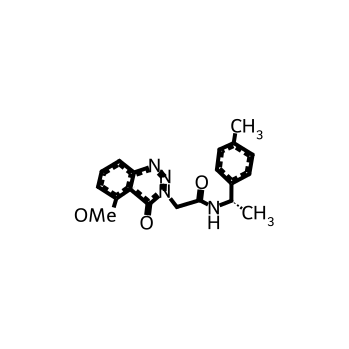 COc1cccc2nnn(CC(=O)N[C@@H](C)c3ccc(C)cc3)c(=O)c12